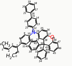 C=C/C(=C\C=C/C)c1ccc(N(c2ccc(-c3ccccc3)cc2)c2ccc3c(c2)C(c2ccccc2)(c2ccccc2)c2ccccc2O3)cc1